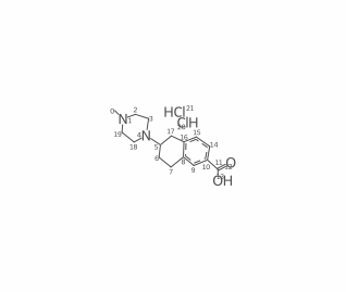 CN1CCN(C2CCc3cc(C(=O)O)ccc3C2)CC1.Cl.Cl